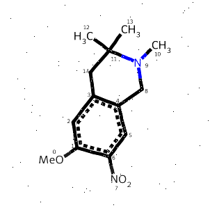 COc1cc2c(cc1[N+](=O)[O-])CN(C)C(C)(C)C2